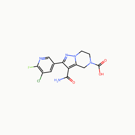 NC(=O)c1c(-c2cnc(F)c(Cl)c2)nn2c1CN(C(=O)O)CC2